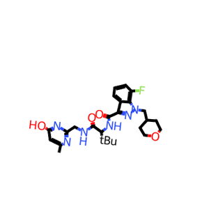 Cc1cc(O)nc(CNC(=O)C(NC(=O)c2nn(CC3CCOCC3)c3c(F)cccc23)C(C)(C)C)n1